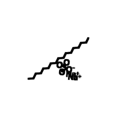 CCCCCCCCCCCCCCCCC.O=S(=O)([O-])[O-].[Na+].[Na+]